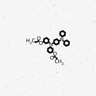 C=CC(=O)Oc1cccc(N(c2ccc(N(c3ccccc3)c3ccccc3)cc2)c2cccc(OC(=O)C=C)c2)c1